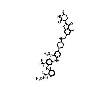 CNC(=O)c1ccccc1Nc1cc(Nc2ccc(N3CCC(NCc4cc(F)c5c(c4)CN(C4CCC(=O)NC4=O)C5=O)CC3)cc2OC)ncc1C(F)(F)F